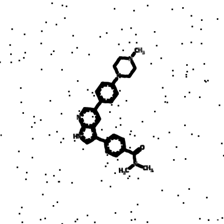 CN1CCN(c2ccc(-c3cnc4[nH]cc(-c5ccc(C(=O)N(C)C)cc5)c4c3)cc2)CC1